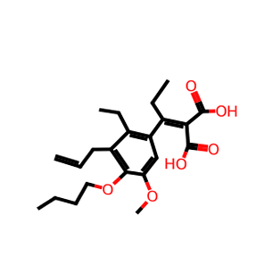 C=CCc1c(CC)c(C(CC)=C(C(=O)O)C(=O)O)cc(OC)c1OCCCC